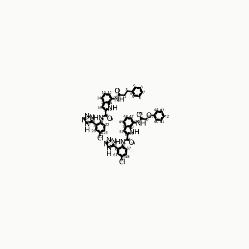 O=C(CCc1ccccc1)Nc1cccc2cc(C(=O)Nc3ccc(Cl)cc3-c3nnn[nH]3)[nH]c12.O=C(COc1ccccc1)Nc1cccc2cc(C(=O)Nc3ccc(Cl)cc3-c3nnn[nH]3)[nH]c12